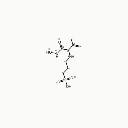 C=C(C)[C@@H](NCCCS(=O)(=O)O)C(=O)NO